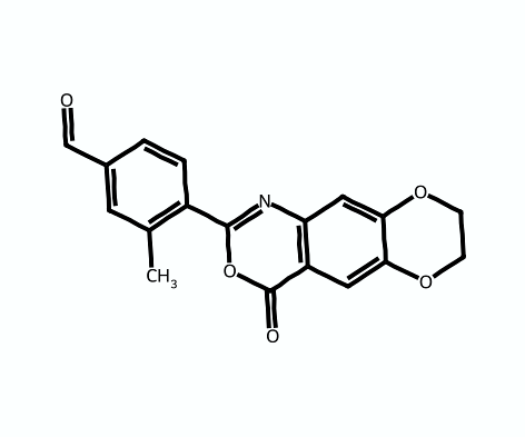 Cc1cc(C=O)ccc1-c1nc2cc3c(cc2c(=O)o1)OCCO3